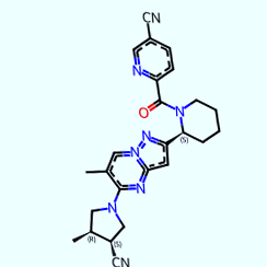 Cc1cn2nc([C@@H]3CCCCN3C(=O)c3ccc(C#N)cn3)cc2nc1N1C[C@@H](C#N)[C@@H](C)C1